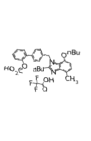 CCCCOc1ccc(C)c2nc(CCCC)n(Cc3ccc(-c4ccccc4OC(=O)O)cc3)c12.O=C(O)C(F)(F)F